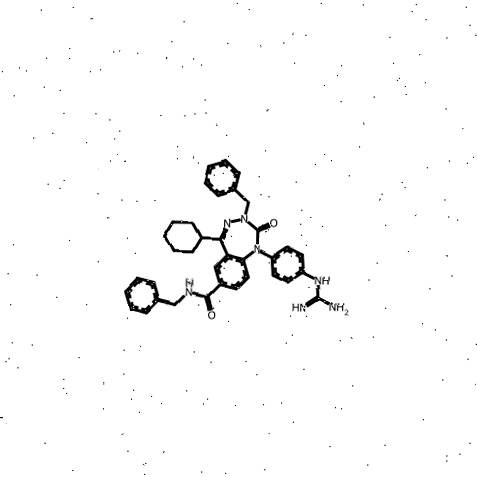 N=C(N)Nc1ccc(N2C(=O)N(Cc3ccccc3)N=C(C3CCCCC3)c3cc(C(=O)NCc4ccccc4)ccc32)cc1